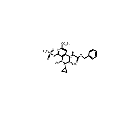 CCOC(=O)c1cc2c(c(OS(=O)(=O)C(F)(F)F)n1)N(C(C)=O)[C@@H](C1CC1)[C@H](C)[C@H]2NC(=O)OCc1ccccc1